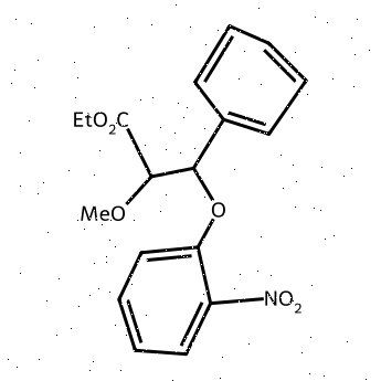 CCOC(=O)C(OC)C(Oc1ccccc1[N+](=O)[O-])c1ccccc1